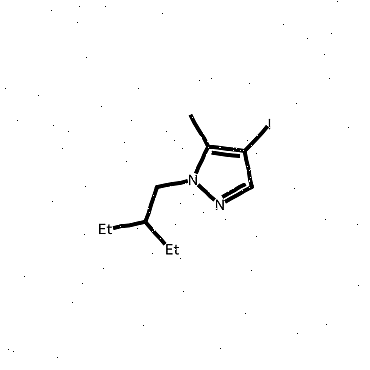 CCC(CC)Cn1ncc(I)c1C